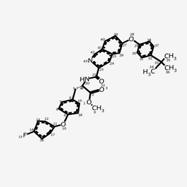 COC(=O)[C@H](Cc1ccc(Oc2ccc(F)cc2)cc1)NC(=O)c1cc2cc(Oc3ccc(C(C)(C)C)cc3)ccc2cn1